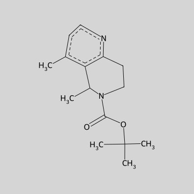 Cc1ccnc2c1C(C)N(C(=O)OC(C)(C)C)CC2